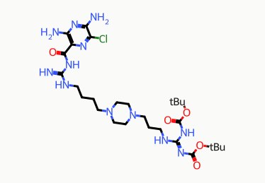 CC(C)(C)OC(=O)N=C(NCCCN1CCN(CCCCNC(=N)NC(=O)c2nc(Cl)c(N)nc2N)CC1)NC(=O)OC(C)(C)C